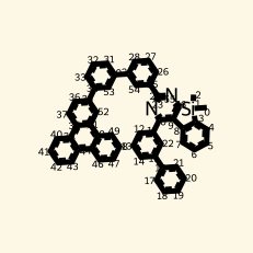 C[Si]1(C)c2ccccc2-c2c(-c3cccc(-c4ccccc4)c3)nc(-c3cccc(-c4cccc(-c5ccc6c7ccccc7c7ccccc7c6c5)c4)c3)nc21